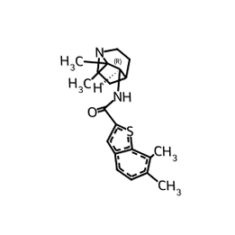 Cc1ccc2cc(C(=O)N[C@@H]3C4CCN(CC4)C3(C)C)sc2c1C